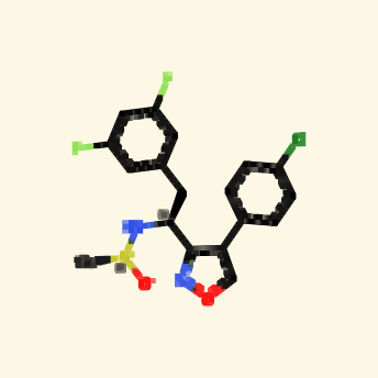 CC(C)(C)[S@+]([O-])N[C@@H](Cc1cc(F)cc(F)c1)c1nocc1-c1ccc(Cl)cc1